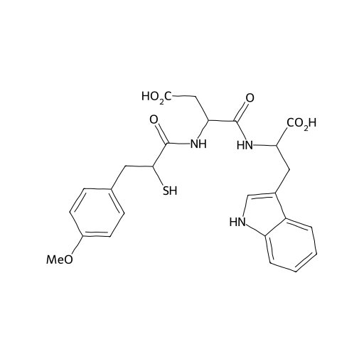 COc1ccc(CC(S)C(=O)NC(CC(=O)O)C(=O)NC(Cc2c[nH]c3ccccc23)C(=O)O)cc1